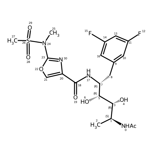 CC(=O)N[C@@H](C)[C@@H](O)[C@H](O)[C@@H](Cc1cc(F)cc(F)c1)NC(=O)c1coc(N(C)S(C)(=O)=O)n1